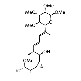 CC[C@H](OC)[C@@H](C)[C@@H]1C[C@H]1[C@H](O)[C@@H](C)/C=C/C=C(\C)[C@@H]1O[C@H](OC)[C@H](OC)[C@@H](OC)[C@@H]1OC